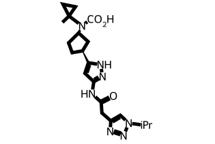 CC(C)n1cc(CC(=O)Nc2cc([C@H]3CC[C@@H](N(C(=O)O)C4(C)CC4)C3)[nH]n2)nn1